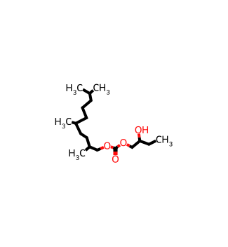 CCC(O)COC(=O)OCC(C)CCC(C)CCCC(C)C